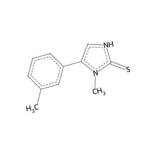 Cc1cccc(-c2c[nH]c(=S)n2C)c1